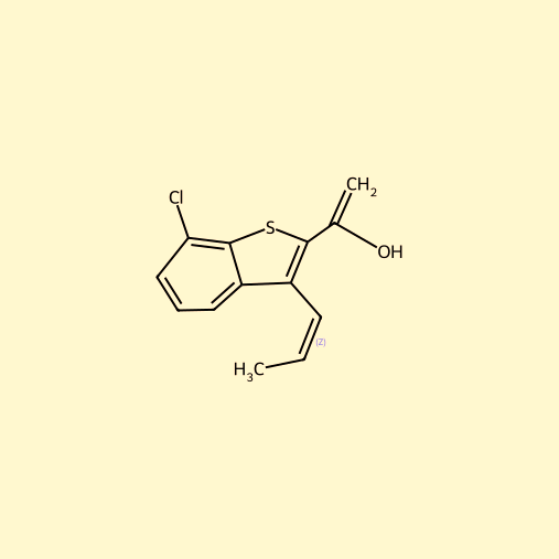 C=C(O)c1sc2c(Cl)cccc2c1/C=C\C